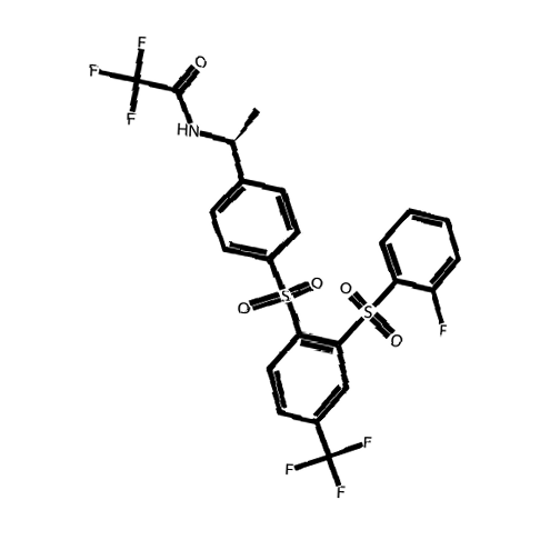 C[C@H](NC(=O)C(F)(F)F)c1ccc(S(=O)(=O)c2ccc(C(F)(F)F)cc2S(=O)(=O)c2ccccc2F)cc1